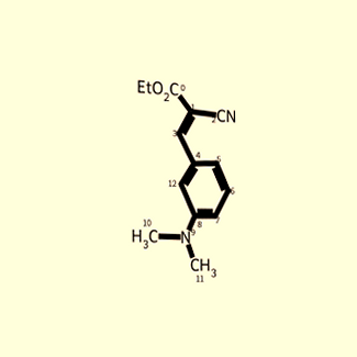 CCOC(=O)C(C#N)=Cc1cccc(N(C)C)c1